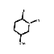 COC1CCC(C(C)C)N(C(C)C)C1